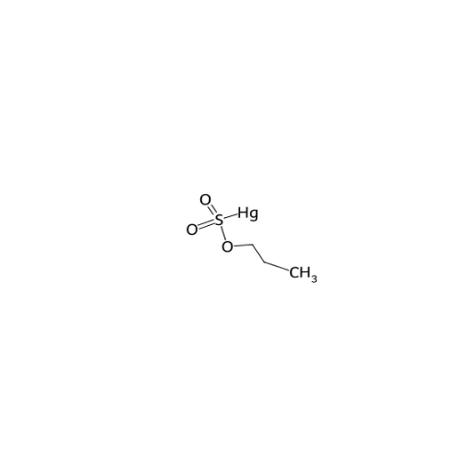 CCCO[S](=O)(=O)[Hg]